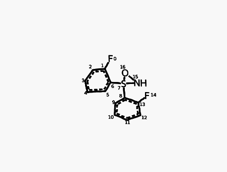 Fc1ccccc1S1(c2ccccc2F)NO1